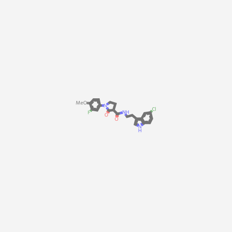 COc1ccc(N2CCC(C(=O)NCCc3c[nH]c4ccc(Cl)cc34)C2=O)cc1F